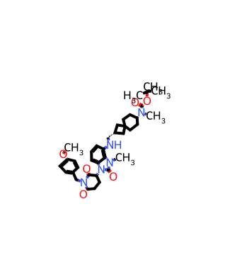 COc1ccc(CN2C(=O)CCC(n3c(=O)n(C)c4c(NC[C@H]5CC6(CC[C@H](N(C)C(=O)OC(C)(C)C)CC6)C5)cccc43)C2=O)cc1